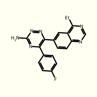 CCc1ncnc2ccc(-c3nnc(N)nc3-c3ccc(F)cc3)cc12